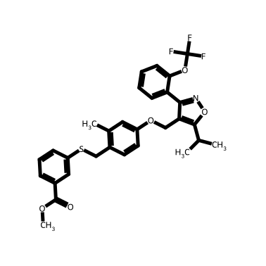 COC(=O)c1cccc(SCc2ccc(OCc3c(-c4ccccc4OC(F)(F)F)noc3C(C)C)cc2C)c1